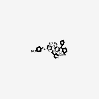 COC(=O)N[C@H](C(=O)Nc1c(CC[C@@H]2CN(C(=O)O)C[C@@H](COc3ccc(C#N)cc3)O2)ccnc1OC)C(c1ccccc1)c1ccccc1